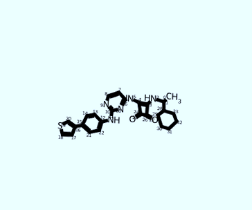 CC(Nc1c(Nc2ccnc(Nc3ccc(-c4ccsc4)cc3)n2)c(=O)c1=O)C1CCCCC1